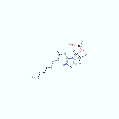 CCCCCCCCC(C)CC1=NCCN1C(C)(OC(C)=O)C(C)C